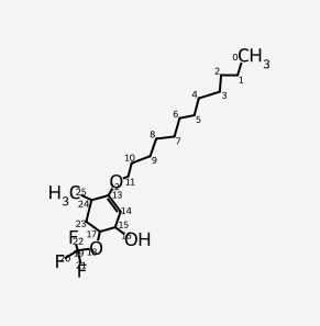 CCCCCCCCCCCCOC1=CC(O)C(OC(F)(F)F)CC1C